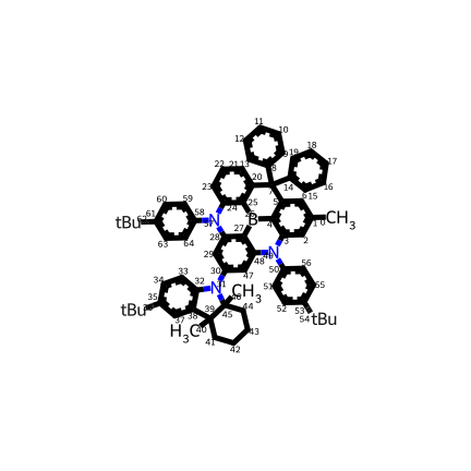 Cc1cc2c3c(c1)C(c1ccccc1)(c1ccccc1)c1cccc4c1B3c1c(cc(N3c5ccc(C(C)(C)C)cc5C5(C)CCCCC35C)cc1N2c1ccc(C(C)(C)C)cc1)N4c1ccc(C(C)(C)C)cc1